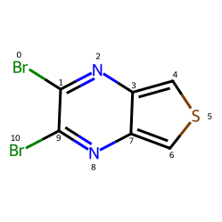 Brc1nc2cscc2nc1Br